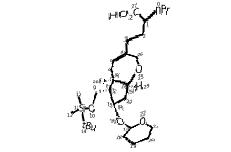 CCCC(CCC1=CC[C@@H]2[C@@H](CO[Si](C)(C)C(C)(C)C)[C@H](OC3CCCCO3)C[C@@H]2OC1)C(=O)O